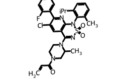 C=CC(=O)N1CCN(C2=NS(=O)(=O)N(c3c(C)cccc3C(C)C)c3nc(-c4ccccc4F)c(Cl)cc32)C(C)C1